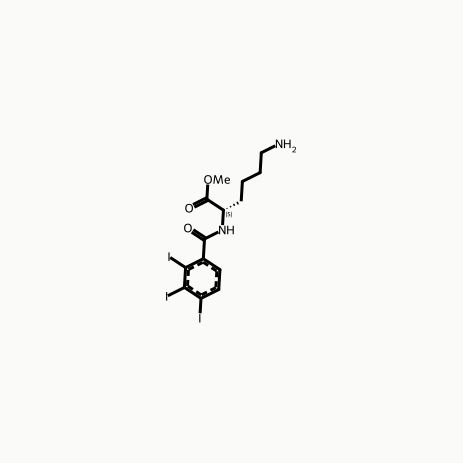 COC(=O)[C@H](CCCCN)NC(=O)c1ccc(I)c(I)c1I